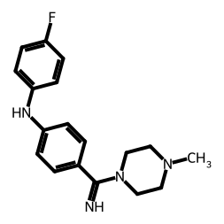 CN1CCN(C(=N)c2ccc(Nc3ccc(F)cc3)cc2)CC1